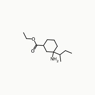 CCOC(=O)C1CCCC(N)(C(C)CC)C1